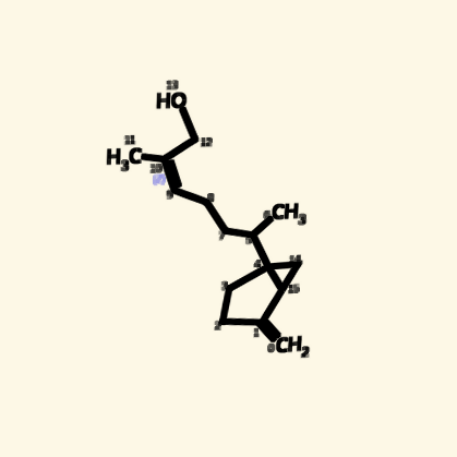 C=C1CCC2(C(C)CC/C=C(/C)CO)CC12